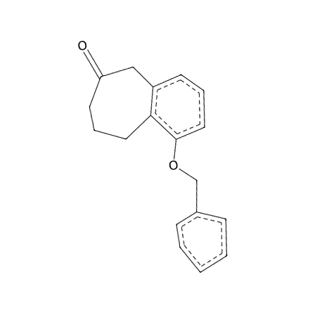 O=C1CCCc2c(cccc2OCc2ccccc2)C1